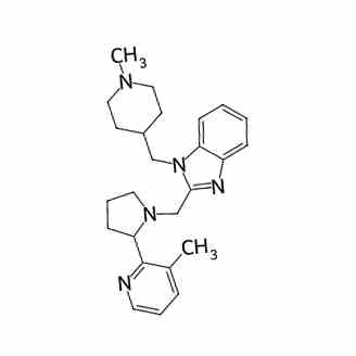 Cc1cccnc1C1CCCN1Cc1nc2ccccc2n1CC1CCN(C)CC1